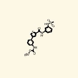 CC(C)(C)OC(=O)Nc1cccc(-c2csc(C(=O)Nc3cccc(NS(C)(=O)=O)c3)c2)c1